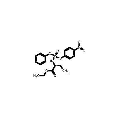 CCOC(=O)[C@H](CC)NP(=O)(Oc1ccccc1)Oc1ccc([N+](=O)[O-])cc1